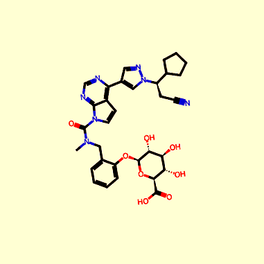 CN(Cc1ccccc1O[C@@H]1O[C@H](C(=O)O)[C@@H](O)[C@H](O)[C@H]1O)C(=O)n1ccc2c(-c3cnn([C@H](CC#N)C4CCCC4)c3)ncnc21